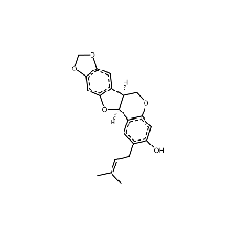 CC(C)=CCc1cc2c(cc1O)OC[C@@H]1c3cc4c(cc3O[C@H]21)OCO4